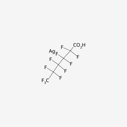 O=C(O)C(F)(F)C(F)(F)C(F)(F)C(F)(F)C(F)(F)F.[Ag]